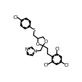 Clc1ccc(SCC2COC(CCc3c(Cl)cc(Cl)cc3Cl)(Cn3ccnc3)O2)cc1